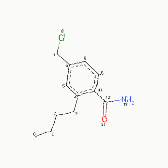 CCCCc1cc(CCl)ccc1C(N)=O